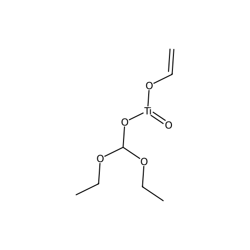 C=C[O][Ti](=[O])[O]C(OCC)OCC